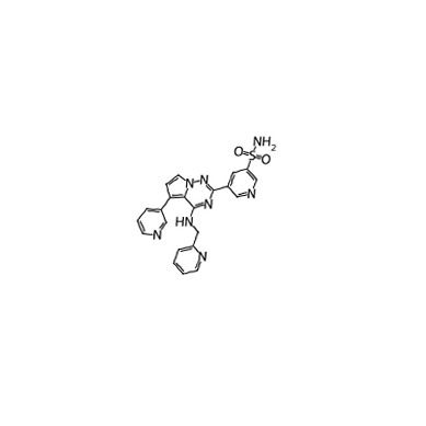 NS(=O)(=O)c1cncc(-c2nc(NCc3ccccn3)c3c(-c4cccnc4)ccn3n2)c1